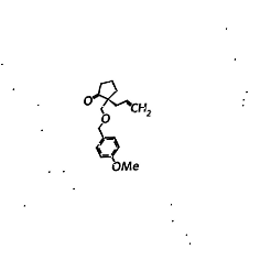 C=CC[C@]1(COCc2ccc(OC)cc2)CCCC1=O